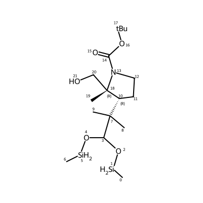 C[SiH2]OC(O[SiH2]C)C(C)(C)[C@H]1CCN(C(=O)OC(C)(C)C)[C@@]1(C)CO